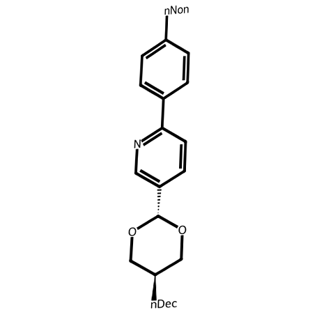 CCCCCCCCCC[C@H]1CO[C@H](c2ccc(-c3ccc(CCCCCCCCC)cc3)nc2)OC1